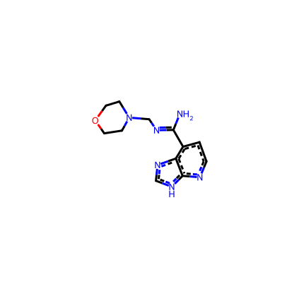 NC(=NCN1CCOCC1)c1ccnc2[nH]cnc12